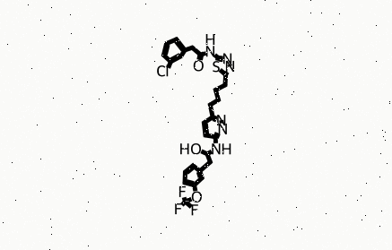 O=C(Cc1cccc(Cl)c1)Nc1nnc(CCCCc2ccc(NC(O)Cc3cccc(OC(F)(F)F)c3)nn2)s1